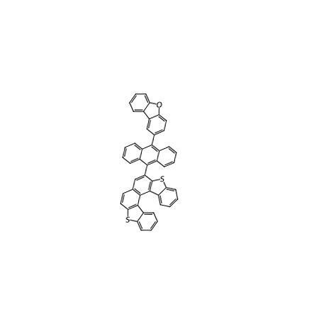 c1ccc2c(c1)oc1ccc(-c3c4ccccc4c(-c4cc5ccc6sc7ccccc7c6c5c5c4sc4ccccc45)c4ccccc34)cc12